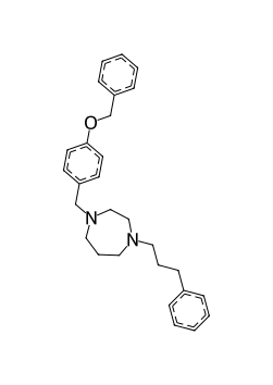 c1ccc(CCCN2CCCN(Cc3ccc(OCc4ccccc4)cc3)CC2)cc1